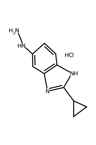 Cl.NNc1ccc2[nH]c(C3CC3)nc2c1